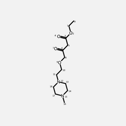 CCOC(=O)CC(=O)COCCN1CCN(C)CC1